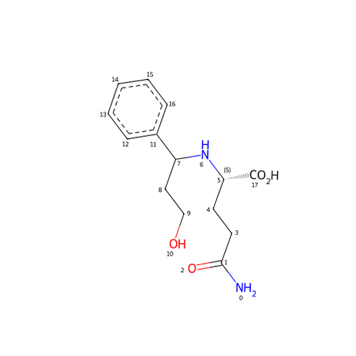 NC(=O)CC[C@H](NC(CCO)c1ccccc1)C(=O)O